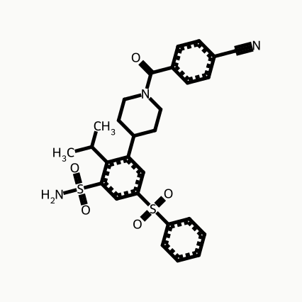 CC(C)c1c(C2CCN(C(=O)c3ccc(C#N)cc3)CC2)cc(S(=O)(=O)c2ccccc2)cc1S(N)(=O)=O